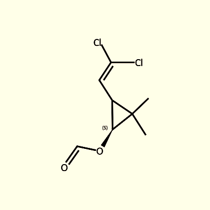 CC1(C)C(C=C(Cl)Cl)[C@@H]1OC=O